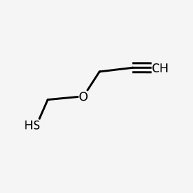 C#CCOCS